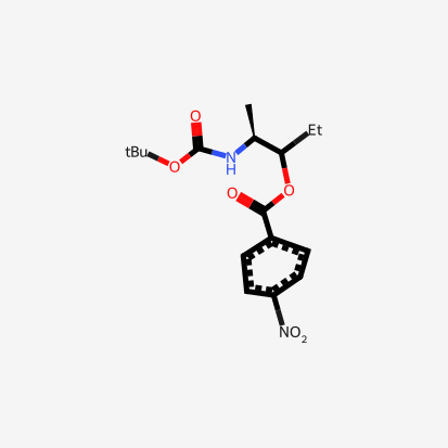 CCC(OC(=O)c1ccc([N+](=O)[O-])cc1)[C@H](C)NC(=O)OC(C)(C)C